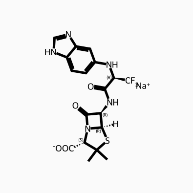 CC1(C)S[C@@H]2[C@H](NC(=O)[C@@H](Nc3ccc4[nH]cnc4c3)C(F)(F)F)C(=O)N2[C@H]1C(=O)[O-].[Na+]